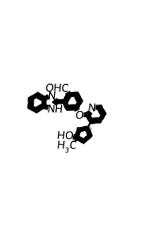 C[C@]1(O)CC[C@H](c2cccnc2Oc2ccc(C=O)c(-c3nc4ccccc4[nH]3)c2)C1